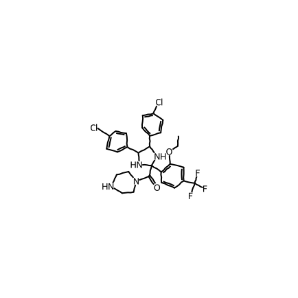 CCOc1cc(C(F)(F)F)ccc1C1(C(=O)N2CCNCC2)NC(c2ccc(Cl)cc2)C(c2ccc(Cl)cc2)N1